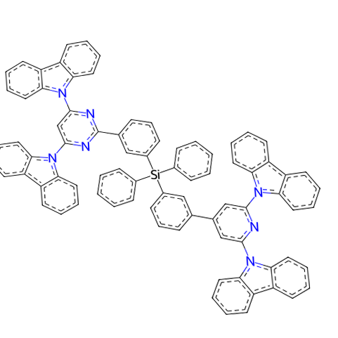 c1ccc([Si](c2ccccc2)(c2cccc(-c3cc(-n4c5ccccc5c5ccccc54)nc(-n4c5ccccc5c5ccccc54)c3)c2)c2cccc(-c3nc(-n4c5ccccc5c5ccccc54)cc(-n4c5ccccc5c5ccccc54)n3)c2)cc1